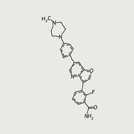 CN1CCN(c2ccc(-c3cnc4c(-c5cccc(C(N)=O)c5F)coc4c3)cc2)CC1